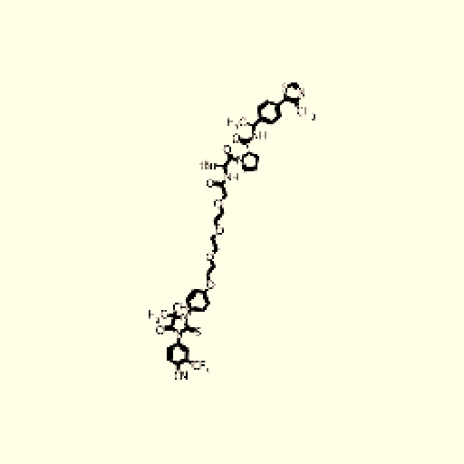 Cc1ncsc1-c1ccc([C@H](C)NC(=O)[C@@H]2CCCN2C(=O)[C@@H](NC(=O)COCCOCCOCCOc2ccc(N3C(=S)N(c4ccc(C#N)c(C(F)(F)F)c4)C(=O)C3(C)C)cc2)C(C)(C)C)cc1